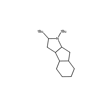 CC(C)(C)C1CC2C3CCCCC3CC2N1C(C)(C)C